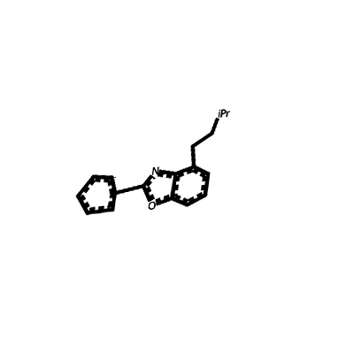 CC(C)CCc1cccc2oc(-c3[c]cccc3)nc12